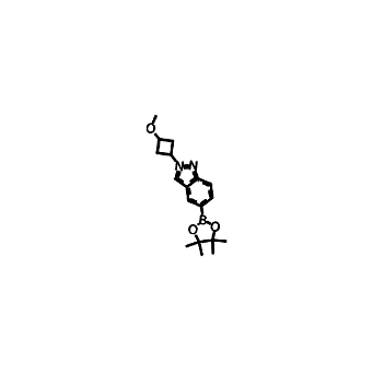 COC1CC(n2cc3cc(B4OC(C)(C)C(C)(C)O4)ccc3n2)C1